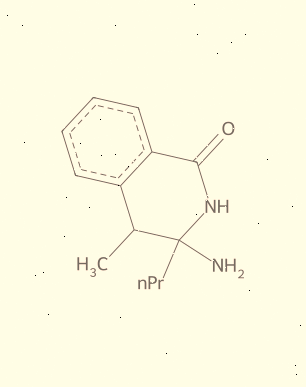 CCCC1(N)NC(=O)c2ccccc2C1C